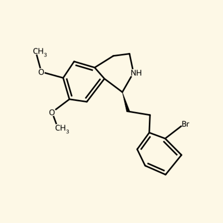 COc1cc2c(cc1OC)[C@H](CCc1ccccc1Br)NCC2